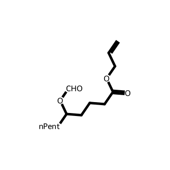 C=CCOC(=O)CCCC(CCCCC)OC=O